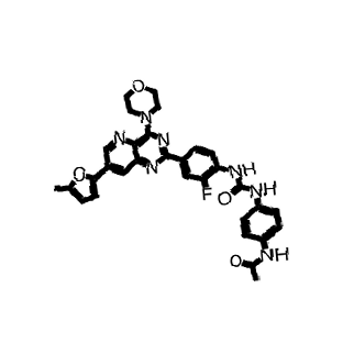 CC(=O)Nc1ccc(NC(=O)Nc2ccc(-c3nc(N4CCOCC4)c4ncc(-c5ccc(C)o5)cc4n3)cc2F)cc1